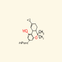 CCCCCc1cc(O)c2c(c1)OC(C)(C)C1CCC(C3CC3)=CC21